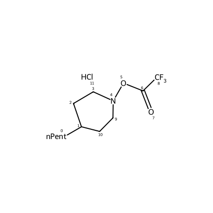 CCCCCC1CCN(OC(=O)C(F)(F)F)CC1.Cl